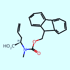 C=CC[C@H](C(=O)O)N(C)C(=O)OCC1c2ccccc2-c2ccccc21